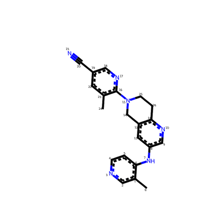 Cc1cnccc1Nc1cnc2c(c1)CN(c1ncc(C#N)cc1C)CC2